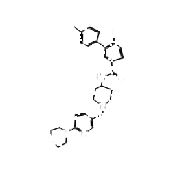 Cc1ccc(-c2cc(C(=O)NC3CCN(Cc4ccc(N5CCOCC5)nc4)CC3)ccc2F)cc1